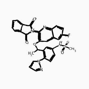 CC(Oc1cc2cc(F)ccc2nc1N1C(=O)c2ccccc2C1=O)c1cc(NS(C)(=O)=O)ccc1-n1cccn1